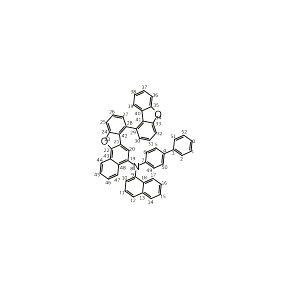 c1ccc(-c2ccc(N(c3cccc4ccccc34)c3cc4c(oc5cccc(-c6cccc7oc8ccccc8c67)c54)c4ccccc34)cc2)cc1